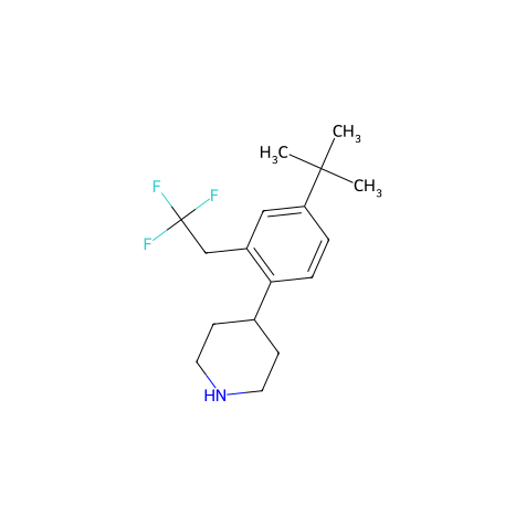 CC(C)(C)c1ccc(C2CCNCC2)c(CC(F)(F)F)c1